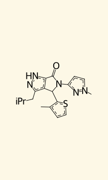 Cc1ccsc1C1c2c(CC(C)C)n[nH]c2C(=O)N1c1ccn(C)n1